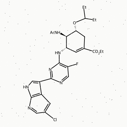 CCOC(=O)C1=C[C@H](Nc2nc(-c3c[nH]c4ncc(Cl)cc34)ncc2F)[C@@H](NC(C)=O)[C@H](OC(CC)CC)C1